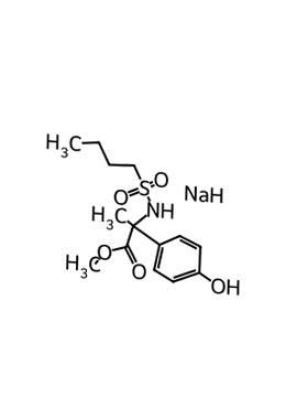 CCCCS(=O)(=O)NC(C)(C(=O)OC)c1ccc(O)cc1.[NaH]